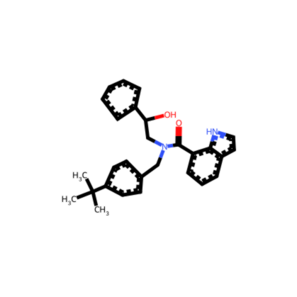 CC(C)(C)c1ccc(CN(CC(O)c2ccccc2)C(=O)c2cccc3cc[nH]c23)cc1